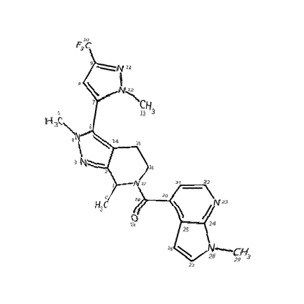 CC1c2nn(C)c(-c3cc(C(F)(F)F)nn3C)c2CCN1C(=O)c1ccnc2c1ccn2C